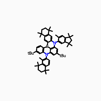 Cc1cc2c(cc1N1c3cc4c(cc3B3c5ccc(C(C)(C)C)cc5N(c5ccc6c(c5C)C(C)(C)CCC6(C)C)c5cc(C(C)(C)C)cc1c53)C(C)(C)CCC4(C)C)C(C)(C)CC2(C)C